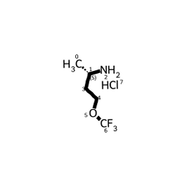 C[C@H](N)CCOC(F)(F)F.Cl